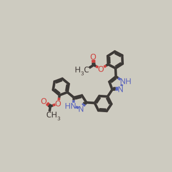 CC(=O)Oc1ccccc1-c1cc(-c2cccc(-c3cc(-c4ccccc4OC(C)=O)[nH]n3)c2)n[nH]1